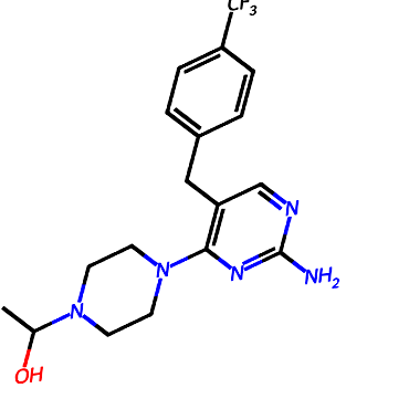 CC(O)N1CCN(c2nc(N)ncc2Cc2ccc(C(F)(F)F)cc2)CC1